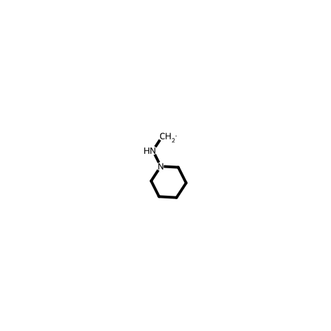 [CH2]NN1CCCCC1